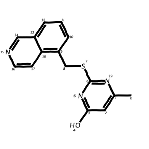 Cc1cc(O)nc(SCc2cccc3cnccc23)n1